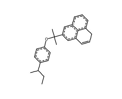 CCC(C)c1ccc(OC(C)(C)c2cc3c4c(cccc4c2)CC=C3)cc1